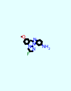 COc1ccc(N2C=C(F)C=NC2n2c(C)nc3ccc(N)cc32)cc1